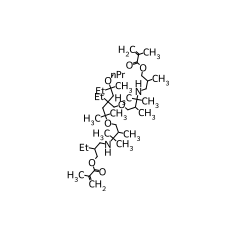 C=C(C)C(=O)OCC(C)CNC(C)(C)C(C)COCC(CC)(CC(C)(C)OCC(C)C(C)(C)NCC(CC)COC(=O)C(=C)C)CC(C)(CC)OCCC